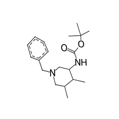 CC1CN(Cc2ccccc2)CC(NC(=O)OC(C)(C)C)C1C